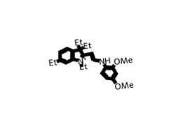 CCc1ccc2c(c1)[N+](CC)=C(C=CNc1ccc(OC)cc1OC)C2(CC)CC